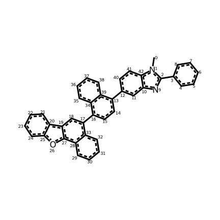 Cn1c(-c2ccccc2)nc2cc(-c3ccc(-c4cc5c6ccccc6oc5c5ccccc45)c4ccccc34)ccc21